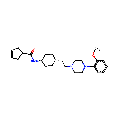 COc1ccccc1N1CCN(CC[C@H]2CC[C@H](NC(=O)C3CC=CC3)CC2)CC1